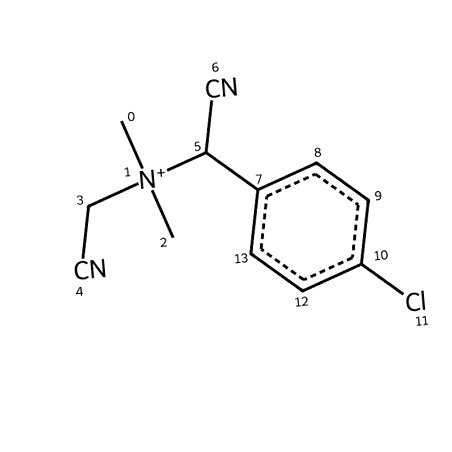 C[N+](C)(CC#N)C(C#N)c1ccc(Cl)cc1